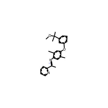 COC(C)(C)c1cccc(Oc2cc(C)c(/N=C(\C)c3ccccn3)cc2C)c1